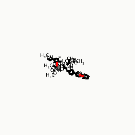 COC(=O)N[C@H](C(=O)N[C@@H](Cc1ccc(-c2ccc(N3CC4CCC(C3)N4C3COC3)nc2)cc1)[C@@H](O)CN(Cc1c(F)cc(-c2ccn(C)n2)cc1F)NC(=O)[C@@H](NC(=O)OC)C(C)(C)C)C(C)(C)C